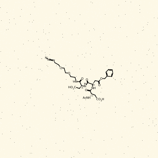 CC(=O)N[C@@H](CC(=O)O)C(=O)N[C@H](CC(=O)OCc1ccccc1)C(=O)N[C@@H](CC(=O)O)C(=O)NCCOCCOCCN=[N+]=[N-]